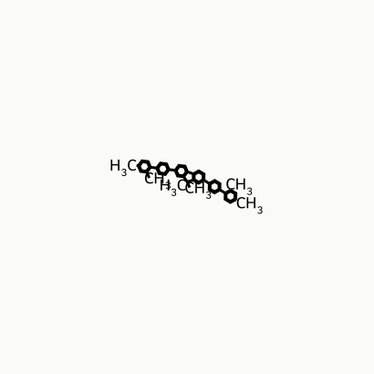 Cc1ccc(-c2ccc(-c3ccc4c(c3)C(C)(C)c3cc(-c5ccc(-c6ccc(C)cc6C)cc5)ccc3-4)cc2)c(C)c1